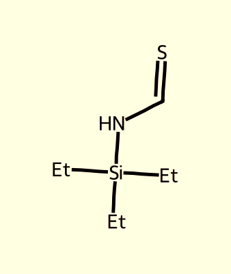 CC[Si](CC)(CC)NC=S